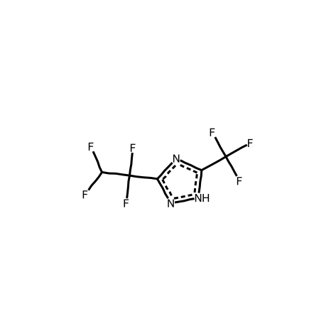 FC(F)C(F)(F)c1n[nH]c(C(F)(F)F)n1